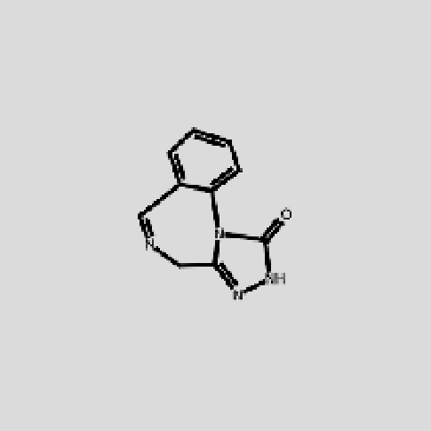 O=c1[nH]nc2n1-c1ccccc1C=NC2